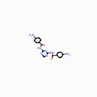 Nc1ccc(C(=O)Nc2ncnc(NC(=O)c3ccc(N)cc3)n2)cc1